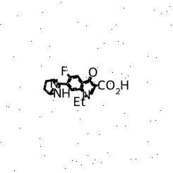 CCn1cc(C(=O)O)c(=O)c2cc(F)c(N3CC4CCC3CN4)cc21